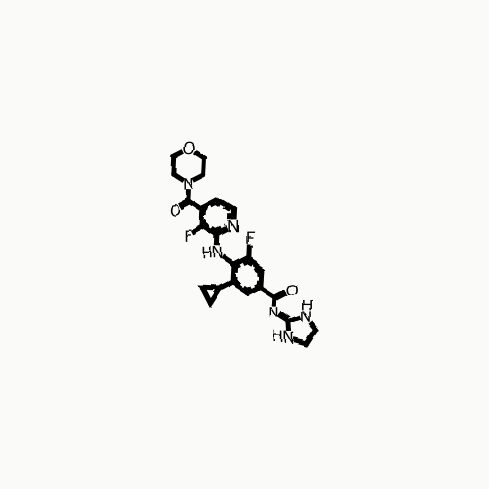 O=C(N=C1NCCN1)c1cc(F)c(Nc2nccc(C(=O)N3CCOCC3)c2F)c(C2CC2)c1